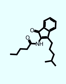 CCCCC(=O)NC1=C(CCCC(C)C)c2ccccc2C1=O